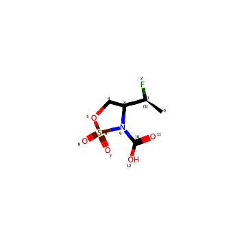 C[C@H](F)C1COS(=O)(=O)N1C(=O)O